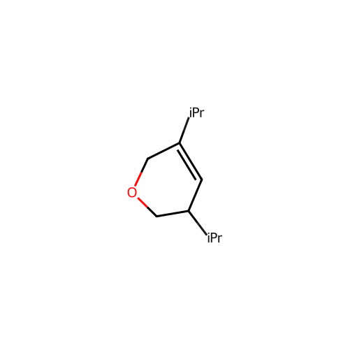 CC(C)C1=CC(C(C)C)COC1